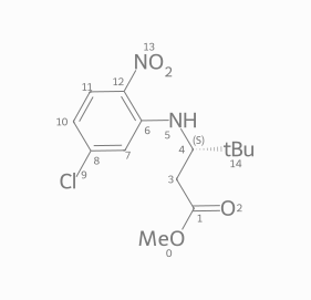 COC(=O)C[C@H](Nc1cc(Cl)ccc1[N+](=O)[O-])C(C)(C)C